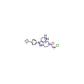 O=C(/C=C\Cl)N1CCc2nn(-c3ccc(C4CCC4)cc3)c3c2[C@H](C1)NCC3